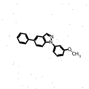 COc1cccc(-n2ncc3cc(-c4ccccc4)ccc32)c1